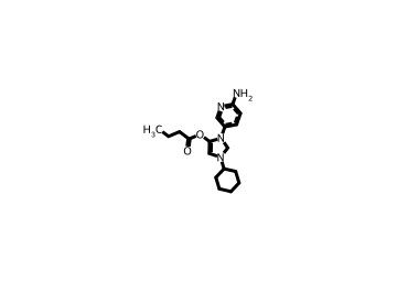 CCCC(=O)OC1=CN(C2CCCCC2)CN1c1ccc(N)nc1